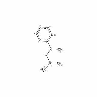 [CH2]N(C)CC(O)c1ccccn1